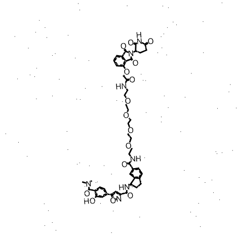 CN(C)C(=O)c1ccc(-c2cc(C(=O)N[C@@H]3CCc4ccc(C(=O)NCCOCCOCCOCCOCCNC(=O)COc5cccc6c5C(=O)N(C5CCC(=O)NC5=O)C6=O)cc43)no2)cc1O